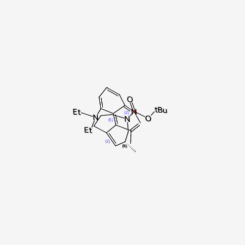 C=C(C)C(/C1=C\[C@@H](C)CN(C(=O)OC(C)(C)C)CCC1)=C1/C(N(CC)CC)=CC=C/C1=N/C